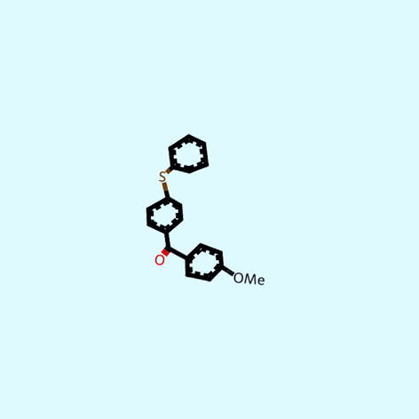 COc1ccc(C(=O)c2ccc(Sc3ccccc3)cc2)cc1